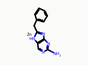 Nc1ncc2[nH]c(Cc3ccccc3)nc2n1.[Zn]